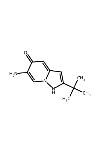 CC(C)(C)c1cc2cc(=O)c(N)cn2[nH]1